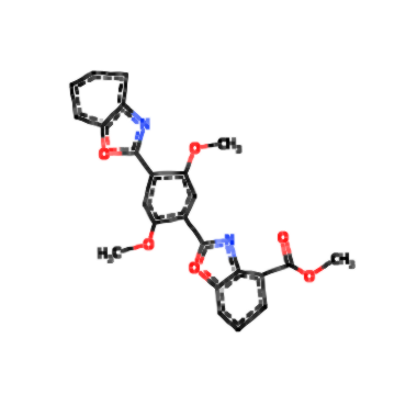 COC(=O)c1cccc2oc(-c3cc(OC)c(-c4nc5ccccc5o4)cc3OC)nc12